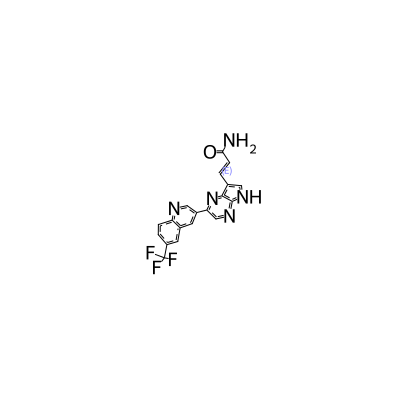 NC(=O)/C=C/c1c[nH]c2ncc(-c3cnc4ccc(C(F)(F)F)cc4c3)nc12